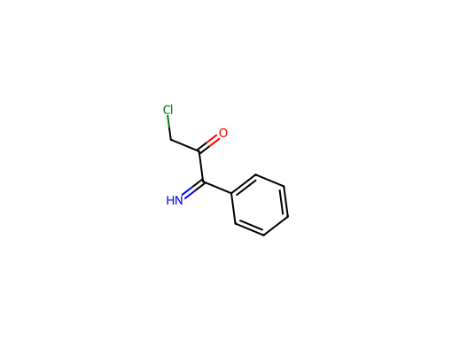 N=C(C(=O)CCl)c1ccccc1